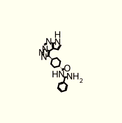 NC(NC(=O)[C@H]1CC[C@H](c2nnn3cnc4[nH]ccc4c23)CC1)c1ccccc1